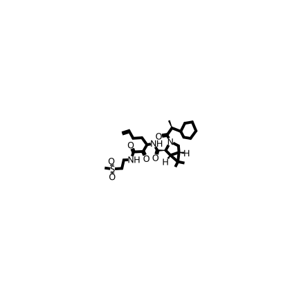 C=CCCC(NC(=O)[C@@H]1[C@@H]2[C@H](CN1C(=O)[C@@H](C)C1CCCCC1)C2(C)C)C(=O)C(=O)NCCS(C)(=O)=O